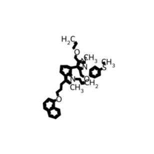 C=CCOCc1c(-c2cccc3c(CCCOc4cccc5ccccc45)c(C)n(CC=C)c23)c(COc2ccc(SC)cc2)nn1C